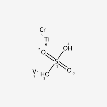 O=S(=O)(O)O.[Cr].[Ti].[V]